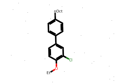 CCCCCCCCc1ccc(-c2ccc(OCC)c(Cl)c2)cc1